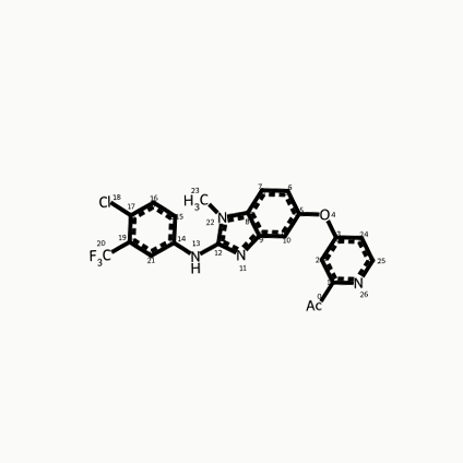 CC(=O)c1cc(Oc2ccc3c(c2)nc(Nc2ccc(Cl)c(C(F)(F)F)c2)n3C)ccn1